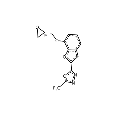 FC(F)(F)c1nnc(-c2cc3cccc(OC[C@@H]4CO4)c3o2)o1